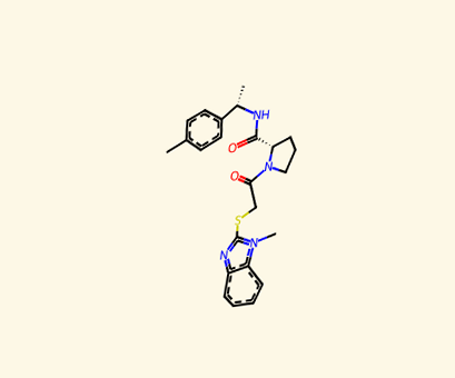 Cc1ccc([C@H](C)NC(=O)[C@@H]2CCCN2C(=O)CSc2nc3ccccc3n2C)cc1